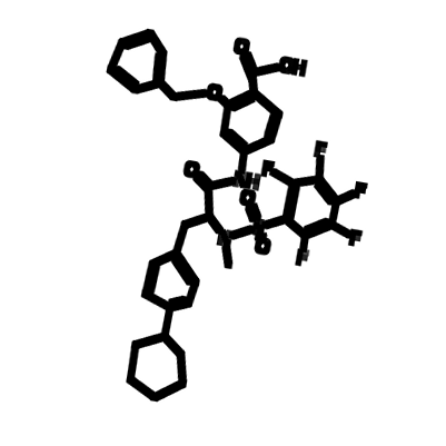 CN(C(Cc1ccc(C2CCCCC2)cc1)C(=O)Nc1ccc(C(=O)O)c(OCc2ccccc2)c1)S(=O)(=O)c1c(F)c(F)c(F)c(F)c1F